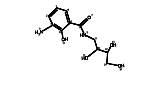 Nc1cccc(C(=O)NCC(O)C(O)CO)c1O